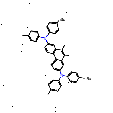 CCCCc1ccc(N(c2ccc(C)cc2)c2ccc3c(c2)c(C)c(C)c2cc(N(c4ccc(C)cc4)c4ccc(CCCC)cc4)ccc23)cc1